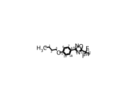 CCCCOc1ccc(-c2noc(C(F)(F)F)n2)cc1